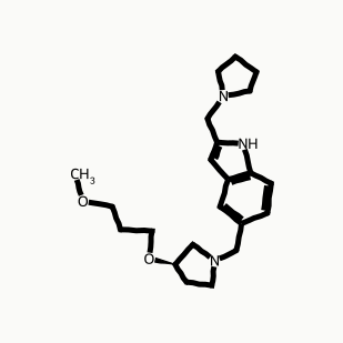 COCCCO[C@@H]1CCN(Cc2ccc3[nH]c(CN4CCCC4)cc3c2)C1